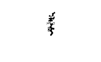 CCCN(C)C(C)(CC)C(C)(C)NC(=O)c1noc(CC)c1C